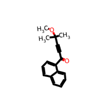 COC(C)(C)C#CC(=O)c1cccc2ccccc12